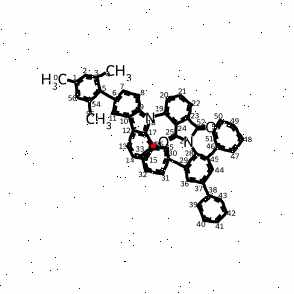 Cc1cc(C)c(-c2ccc3c(c2)c2ccccc2n3-c2cccc3c2C(=O)N(c2c(-c4ccccc4)cc(-c4ccccc4)cc2-c2ccccc2)C3=O)c(C)c1